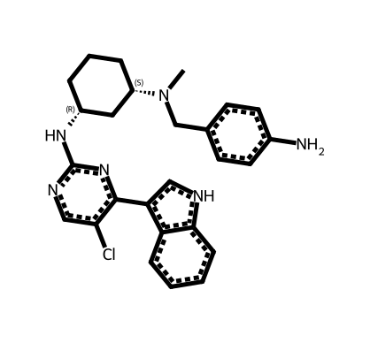 CN(Cc1ccc(N)cc1)[C@H]1CCC[C@@H](Nc2ncc(Cl)c(-c3c[nH]c4ccccc34)n2)C1